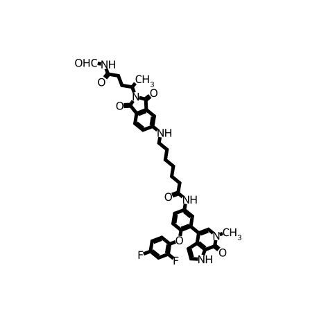 CC(CCC(=O)NC=O)N1C(=O)c2ccc(NCCCCCCC(=O)Nc3ccc(Oc4ccc(F)cc4F)c(-c4cn(C)c(=O)c5[nH]ccc45)c3)cc2C1=O